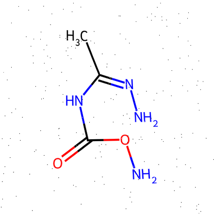 CC(=NN)NC(=O)ON